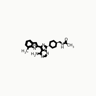 CC(=O)NC[C@H]1CC[C@H](c2nc(C3Cc4cccc(C)c4N3)c3c(N)ncnn32)CC1